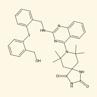 CC1(C)CC2(CC(C)(C)N1c1nc(NCc3ccccc3Sc3ccccc3CO)nc3ccccc13)NC(=O)NC2=O